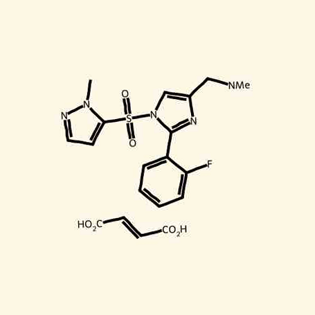 CNCc1cn(S(=O)(=O)c2ccnn2C)c(-c2ccccc2F)n1.O=C(O)C=CC(=O)O